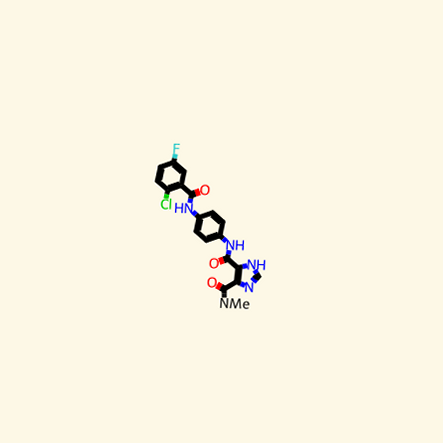 CNC(=O)c1nc[nH]c1C(=O)Nc1ccc(NC(=O)c2cc(F)ccc2Cl)cc1